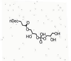 CCCCCCCCCCCCC(=O)OC[C@@H](O)COP(=O)(O)OC[C@@H](O)CO